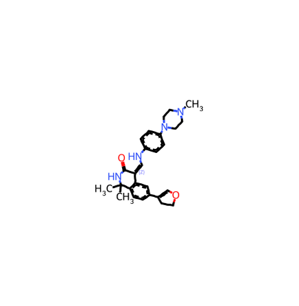 CN1CCN(c2ccc(N/C=C3\C(=O)NC(C)(C)c4ccc(C5=COCC5)cc43)cc2)CC1